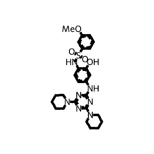 COc1cccc(S(=O)(=O)Nc2ccc(Nc3nc(N4CCCCC4)nc(N4CCCCC4)n3)cc2O)c1